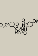 CCOC(=O)N1CCc2oc([C@]3(CN4Cc5ccc(OC)cc5C4=O)NC(=O)NC3=O)cc2C1